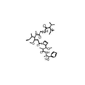 CCC(C)C(C(CC(=O)N1CCC1C(OC)C(C)C(=O)N[C@H](C)C(O)c1ccccc1)OC)N(C)C(=O)CNC(=O)C(C(C)C)N(C)C